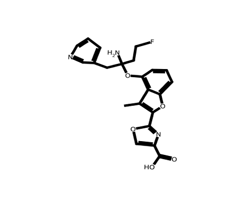 Cc1c(-c2nc(C(=O)O)co2)oc2cccc(OC(N)(CCF)Cc3cccnc3)c12